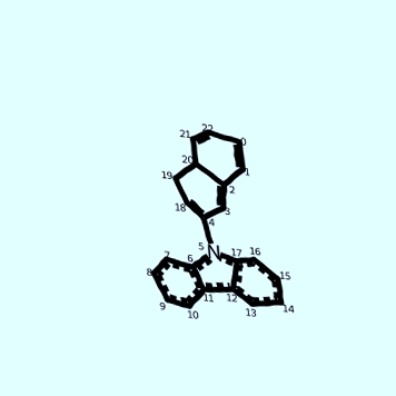 C1=CC2=CC(n3c4ccccc4c4ccccc43)=CCC2C=C1